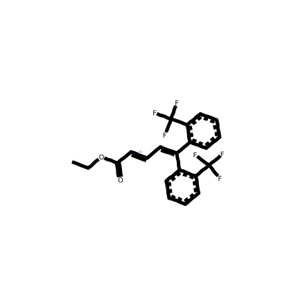 CCOC(=O)/C=C/C=C(c1ccccc1C(F)(F)F)c1ccccc1C(F)(F)F